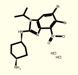 CC(C)n1c(N[C@H]2CC[C@@H](N)CC2)nc2c([N+](=O)[O-])c(Br)c(Br)cc21.Cl.Cl